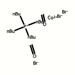 CCCC[P+](CCCC)(CCCC)CCCC.[Br-].[Br-].[Br-].[C]=O.[C]=O.[Co+2]